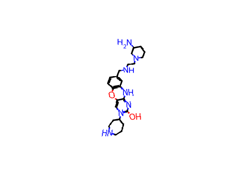 N[C@H]1CCCN(CCNCc2ccc3c(c2)NC2=NC(O)N(C4CCCNCC4)C=C2O3)C1